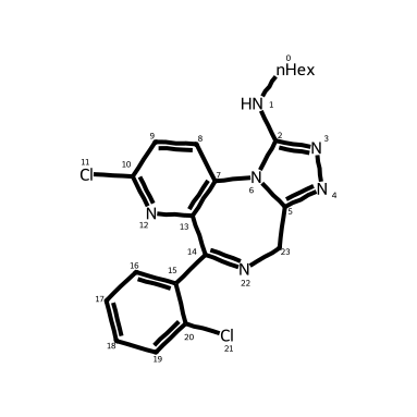 CCCCCCNc1nnc2n1-c1ccc(Cl)nc1C(c1ccccc1Cl)=NC2